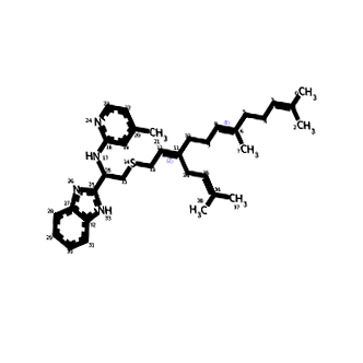 CC(C)=CCC/C(C)=C/CC/C(=C/CSCC(Nc1cc(C)ccn1)c1nc2ccccc2[nH]1)CC=C(C)C